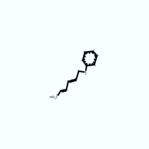 O=C(O)/C=C/C=C/CSc1ccccc1